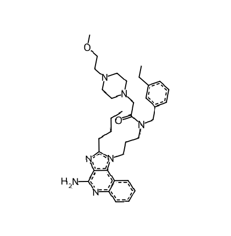 CCCCc1nc2c(N)nc3ccccc3c2n1CCCN(Cc1cccc(CC)c1)C(=O)CN1CCN(CCOC)CC1